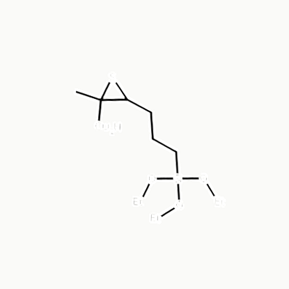 CCO[Si](CCCC1SC1(C)C(=O)O)(OCC)OCC